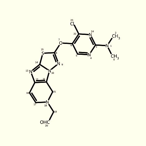 CN(C)c1ncc(Oc2nn3c4c(nc3s2)C=CN(CC=O)C4)c(Cl)n1